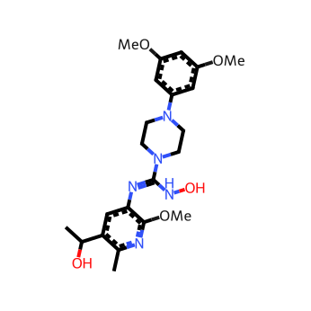 COc1cc(OC)cc(N2CCN(C(=Nc3cc(C(C)O)c(C)nc3OC)NO)CC2)c1